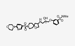 CNS(=O)(=O)c1cccc(OC[C@@H](O)CNC2COC3(CCN(S(=O)(=O)c4ccc(N5CCOCC5)nc4)CC3)C2)c1